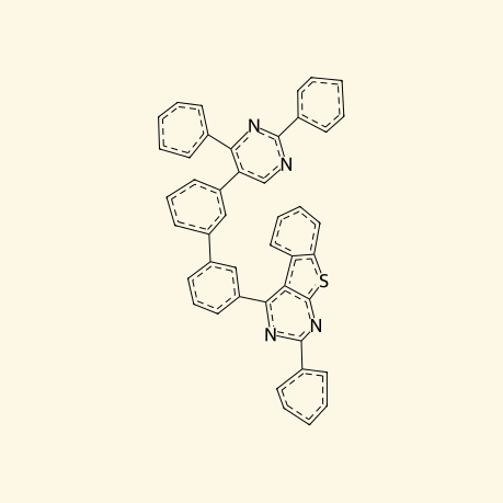 c1ccc(-c2ncc(-c3cccc(-c4cccc(-c5nc(-c6ccccc6)nc6sc7ccccc7c56)c4)c3)c(-c3ccccc3)n2)cc1